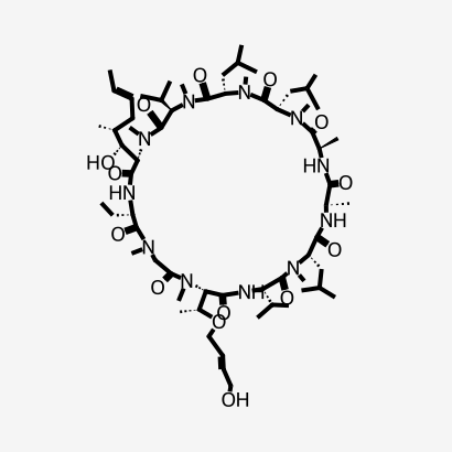 C/C=C/C[C@@H](C)[C@@H](O)[C@H]1C(=O)N[C@@H](CC)C(=O)N(C)CC(=O)N(C)[C@@H]([C@@H](C)OC/C=C/CO)C(=O)N[C@@H](C(C)C)C(=O)N(C)[C@@H](CC(C)C)C(=O)N[C@@H](C)C(=O)N[C@H](C)C(=O)N(C)[C@@H](CC(C)C)C(=O)N(C)[C@@H](CC(C)C)C(=O)N(C)[C@H](C(C)C)C(=O)N1C